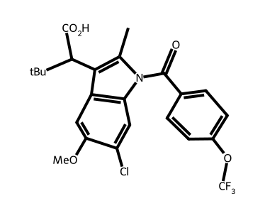 COc1cc2c(C(C(=O)O)C(C)(C)C)c(C)n(C(=O)c3ccc(OC(F)(F)F)cc3)c2cc1Cl